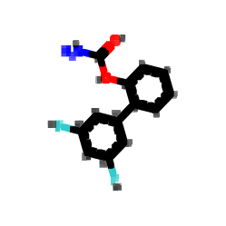 NC(=O)Oc1ccccc1-c1cc(F)cc(F)c1